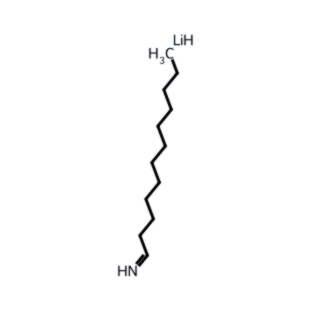 CCCCCCCCCCCC=N.[LiH]